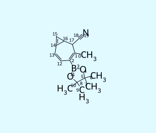 CC1=C(B2OC(C)(C)C(C)(C)O2)C=CC2=CC2C1C#N